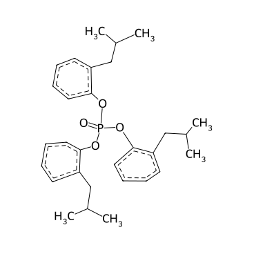 CC(C)Cc1ccccc1OP(=O)(Oc1ccccc1CC(C)C)Oc1ccccc1CC(C)C